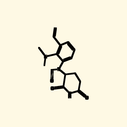 C=Cc1cccc(N(C=O)C2CCC(=O)NC2=O)c1N(C)C